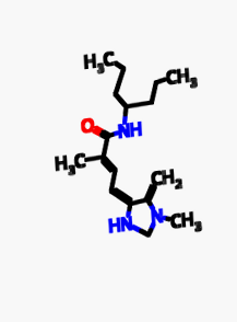 C=C1/C(=C\C=C(/C)C(=O)NC(CCC)CCC)NCN1C